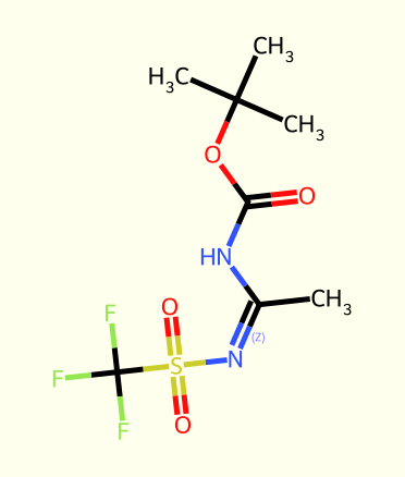 C/C(=N/S(=O)(=O)C(F)(F)F)NC(=O)OC(C)(C)C